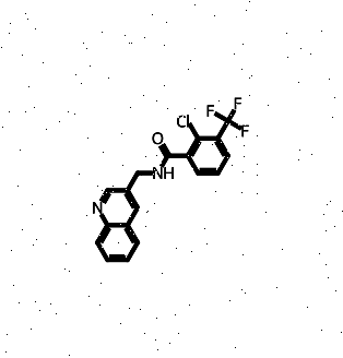 O=C(NCc1cnc2ccccc2c1)c1cccc(C(F)(F)F)c1Cl